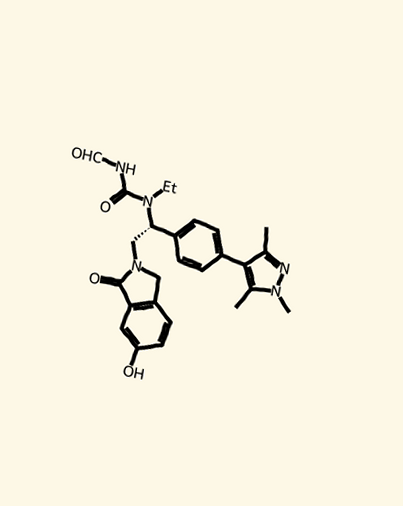 CCN(C(=O)NC=O)[C@@H](CN1Cc2ccc(O)cc2C1=O)c1ccc(-c2c(C)nn(C)c2C)cc1